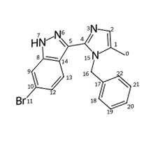 Cc1cnc(-c2n[nH]c3cc(Br)ccc23)n1Cc1ccccc1